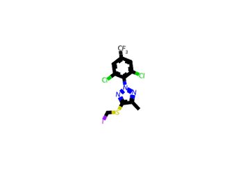 Cc1nn(-c2c(Cl)cc(C(F)(F)F)cc2Cl)nc1SCI